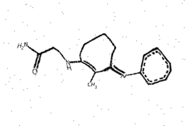 CC1=C(NCC(N)=O)CCCC1=Nc1ccccc1